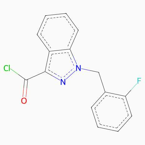 O=C(Cl)c1nn(Cc2ccccc2F)c2ccccc12